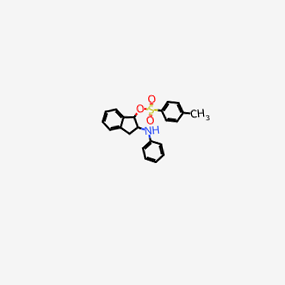 Cc1ccc(S(=O)(=O)OC2c3ccccc3CC2Nc2ccccc2)cc1